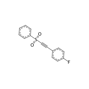 O=S(=O)(C#Cc1ccc(F)cc1)c1ccccc1